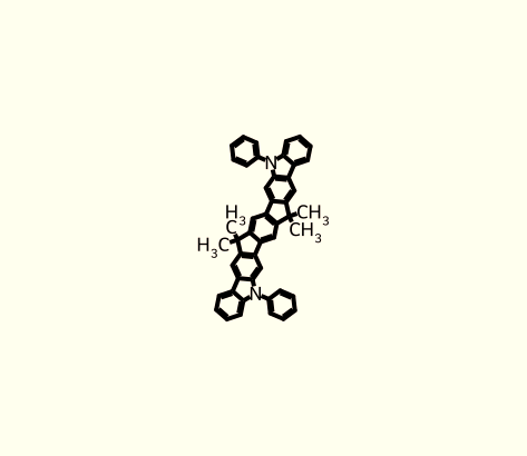 CC1(C)c2cc3c(cc2-c2cc4c(cc21)c1ccccc1n4-c1ccccc1)C(C)(C)c1cc2c4ccccc4n(-c4ccccc4)c2cc1-3